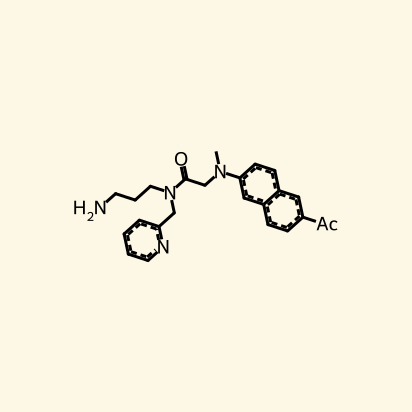 CC(=O)c1ccc2cc(N(C)CC(=O)N(CCCN)Cc3ccccn3)ccc2c1